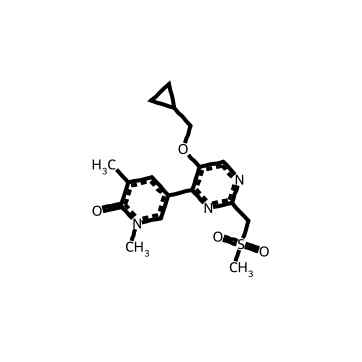 Cc1cc(-c2nc(CS(C)(=O)=O)ncc2OCC2CC2)cn(C)c1=O